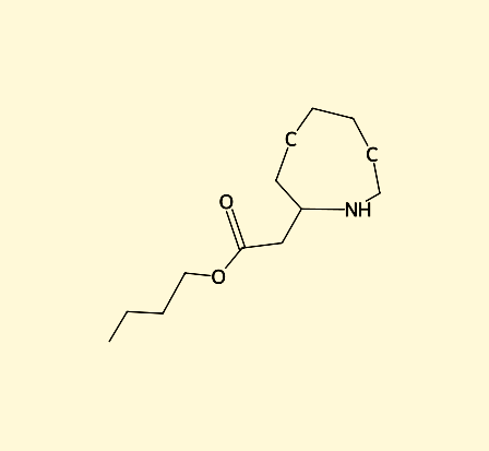 CCCCOC(=O)CC1CCCCCCN1